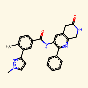 Cn1ccc(-c2cc(C(=O)Nc3cc4c(nc3-c3ccccc3)CNC(=O)C4)ccc2C(F)(F)F)n1